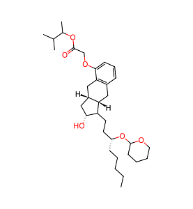 CCCCC[C@H](CCC1[C@H](O)C[C@@H]2Cc3c(cccc3OCC(=O)OC(C)C(C)C)C[C@H]12)OC1CCCCO1